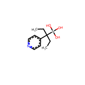 CCC(CC)(c1ccncc1)[Si](O)(O)O